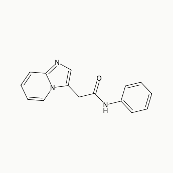 O=C(Cc1cnc2ccccn12)Nc1ccccc1